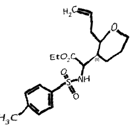 C=CCC1OCCC[C@H]1C(NS(=O)(=O)c1ccc(C)cc1)C(=O)OCC